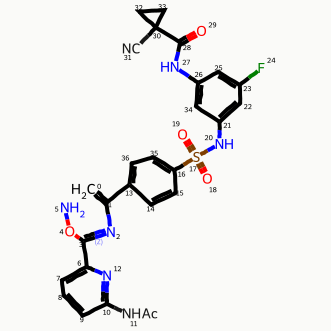 C=C(/N=C(\ON)c1cccc(NC(C)=O)n1)c1ccc(S(=O)(=O)Nc2cc(F)cc(NC(=O)C3(C#N)CC3)c2)cc1